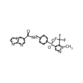 Cn1ncc(S(=O)(=O)c2ccc(CNC(=O)c3cnc4nccn4c3)cc2)c1C(F)(F)F